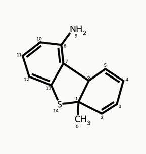 CC12C=CC=CC1c1c(N)cccc1S2